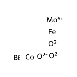 [Bi].[Co].[Fe].[Mo+6].[O-2].[O-2].[O-2]